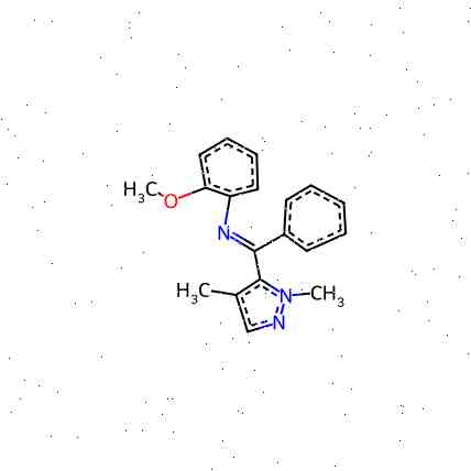 COc1ccccc1N=C(c1ccccc1)c1c(C)cnn1C